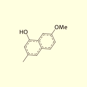 COc1ccc2cc(C)cc(O)c2c1